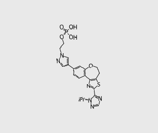 CC(C)n1ncnc1-c1nc2c(s1)CCOc1cc(-c3cnn(CCOP(=O)(O)O)c3)ccc1-2